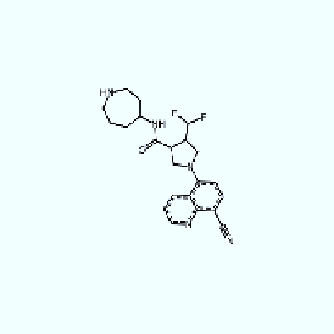 N#Cc1ccc(N2CC(C(=O)NC3CCCNCC3)C(C(F)F)C2)c2cccnc12